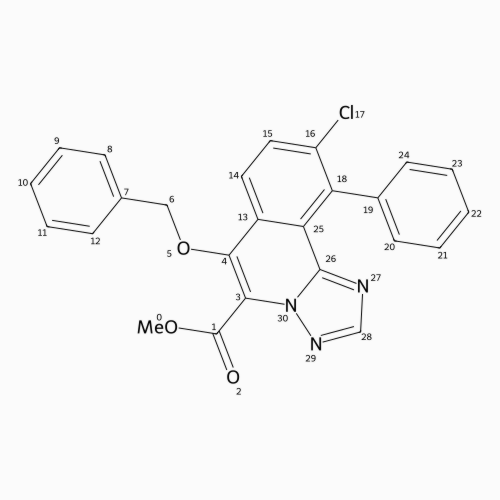 COC(=O)c1c(OCc2ccccc2)c2ccc(Cl)c(-c3ccccc3)c2c2ncnn12